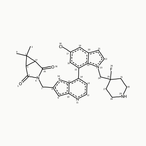 CC1(C)C2C(=O)N(Cc3cc4nccc(-c5cc(Cl)cc6ccn(CC7(F)CCNCC7)c56)c4s3)C(=O)C21